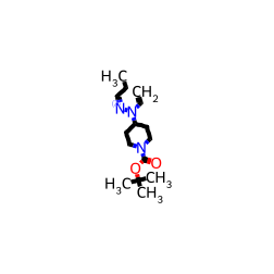 C=CN(/N=C\CC)C1CCN(C(=O)OC(C)(C)C)CC1